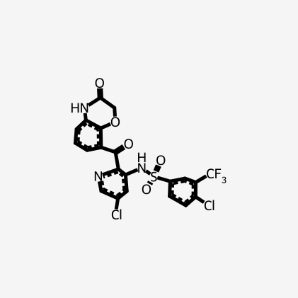 O=C1COc2c(cccc2C(=O)c2ncc(Cl)cc2NS(=O)(=O)c2ccc(Cl)c(C(F)(F)F)c2)N1